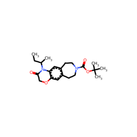 CCC(C)N1C(=O)COc2cc3c(cc21)CCN(C(=O)OC(C)(C)C)CC3